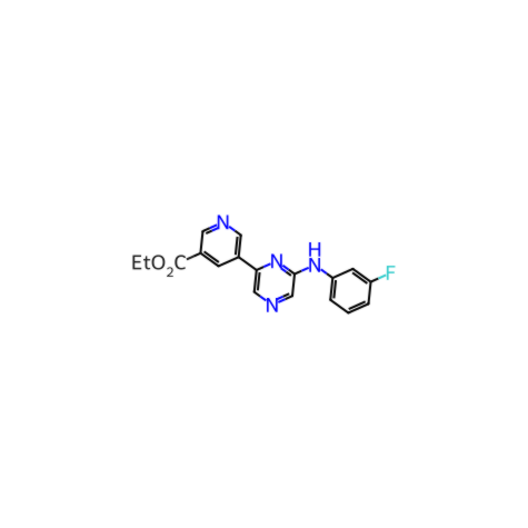 CCOC(=O)c1cncc(-c2cncc(Nc3cccc(F)c3)n2)c1